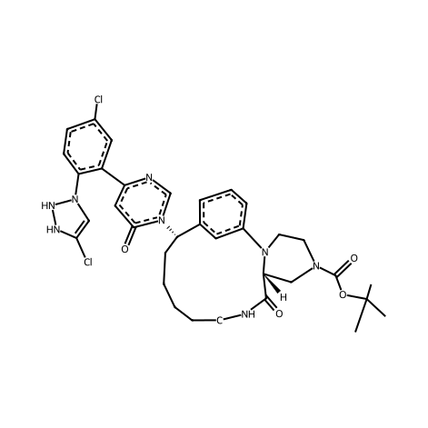 CC(C)(C)OC(=O)N1CCN2c3cccc(c3)[C@@H](n3cnc(-c4cc(Cl)ccc4N4C=C(Cl)NN4)cc3=O)CCCCCNC(=O)[C@H]2C1